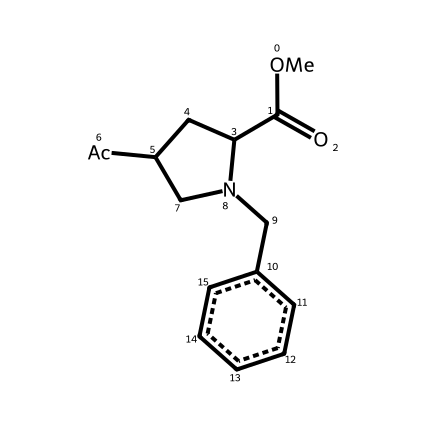 COC(=O)C1CC(C(C)=O)CN1Cc1ccccc1